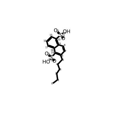 CCCCCCc1ccc2c(S(=O)(=O)O)cccc2c1S(=O)(=O)O